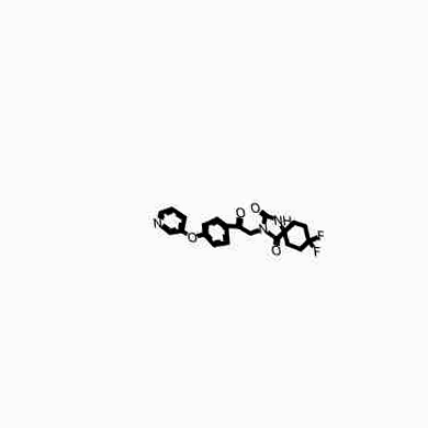 O=C(CN1C(=O)NC2(CCC(F)(F)CC2)C1=O)c1ccc(Oc2cccnc2)cc1